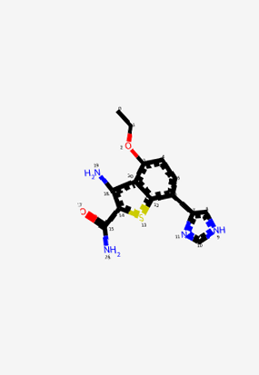 CCOc1ccc(-c2c[nH]cn2)c2sc(C(N)=O)c(N)c12